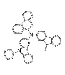 C=C1c2ccccc2-c2ccc(N(c3ccc4c(c3)c3ccccc3n4-c3ccccc3)c3cc4ccccc4c4ccccc34)cc21